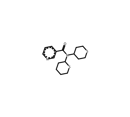 O=C(c1cc[c]nc1)N(C1CCSCC1)C1CCCCS1